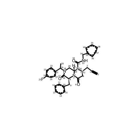 C#CCN1CC(=O)N2[C@@H](Cc3ccccc3)C(=O)N(C(C)c3ccc(F)cc3)C[C@@H]2N1C(=O)NCc1ccccc1